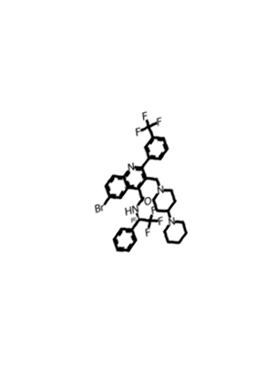 O=C(N[C@H](c1ccccc1)C(F)(F)F)c1c(CN2CCC(N3CCCCC3)CC2)c(-c2cccc(C(F)(F)F)c2)nc2ccc(Br)cc12